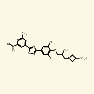 CCc1cc(-c2noc(-c3cc(C)nc(N(CC)CC)c3)n2)cc(C)c1OCC(O)CN1CC(C(=O)O)C1